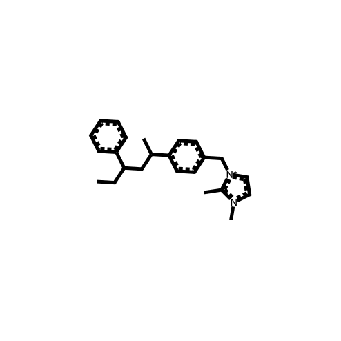 CCC(CC(C)c1ccc(C[n+]2ccn(C)c2C)cc1)c1ccccc1